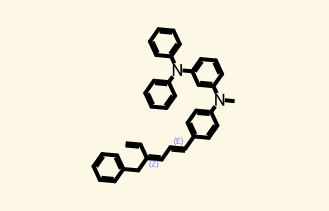 C=C/C(=C\C=C\c1ccc(N(C)c2cccc(N(c3ccccc3)c3ccccc3)c2)cc1)Cc1ccccc1